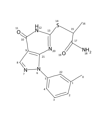 Cc1cccc(-n2ncc3c(=O)[nH]c(SC(C)C(N)=O)nc32)c1